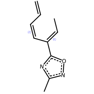 C=C/C=C\C(=C/C)c1nc(C)no1